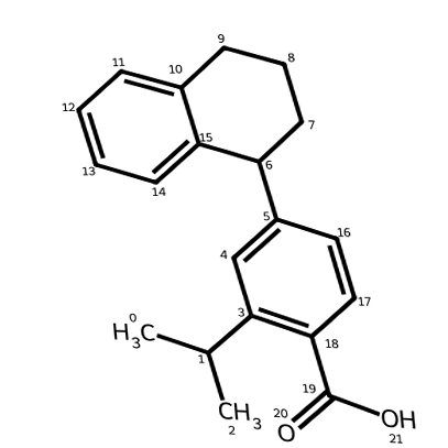 CC(C)c1cc(C2CCCc3ccccc32)ccc1C(=O)O